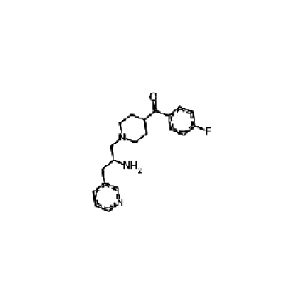 NC(Cc1cccnc1)CN1CCC(C(=O)c2ccc(F)cc2)CC1